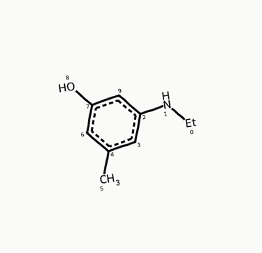 CCNc1cc(C)cc(O)c1